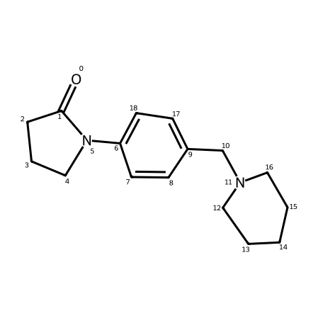 O=C1CCCN1c1ccc(CN2CCCCC2)cc1